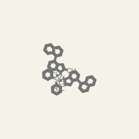 CC1=Cc2c(-c3cccc4ccccc34)cccc2[CH]1[Zr]([Cl])([Cl])([CH]1C(C)=Cc2c(-c3cccc4ccccc34)cccc21)=[Si](c1ccccc1)c1ccccc1